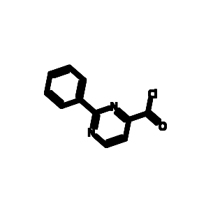 O=C(Cl)c1ccnc(-c2ccccc2)n1